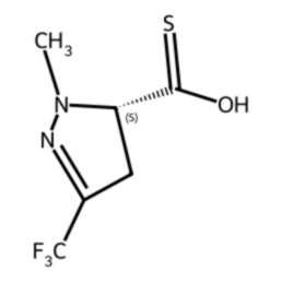 CN1N=C(C(F)(F)F)C[C@H]1C(O)=S